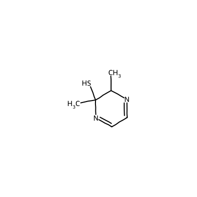 CC1N=CC=NC1(C)S